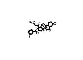 CC(=O)OCC(=O)[C@@]1(OC(=O)c2cccc(I)c2)CC[C@H]2[C@@H]3C[C@H](F)C4=CC(=O)CC[C@]4(C)[C@@]3(Cl)CC[C@@]21C